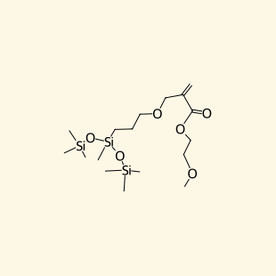 C=C(COCCC[Si](C)(O[Si](C)(C)C)O[Si](C)(C)C)C(=O)OCCOC